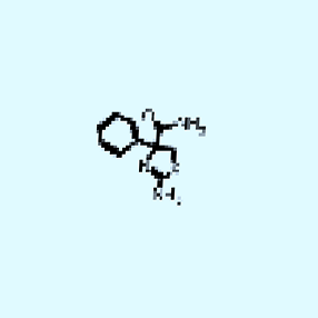 NC(=O)C1(c2ccccc2)CSC(N)=N1